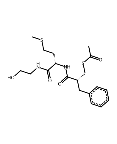 CSCC[C@H](NC(=O)[C@H](CSC(C)=O)Cc1ccccc1)C(=O)NCCO